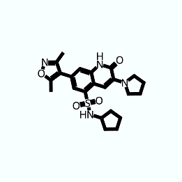 Cc1noc(C)c1-c1cc(S(=O)(=O)NC2CCCC2)c2cc(N3CCCC3)c(=O)[nH]c2c1